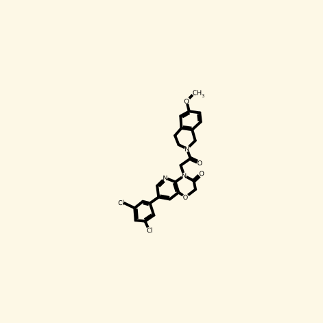 COc1ccc2c(c1)CCN(C(=O)CN1C(=O)COc3cc(-c4cc(Cl)cc(Cl)c4)cnc31)C2